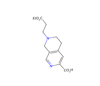 CCOC(=O)CCN1CCc2cc(C(=O)O)ncc2C1